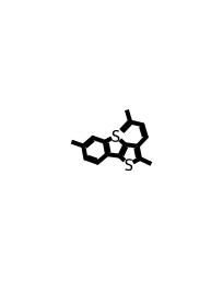 C=C(C)/C=C\c1c(C)sc2c1sc1cc(C)ccc12